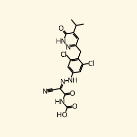 CC(C)c1cc(Cc2c(Cl)cc(NN=C(C#N)C(=O)NC(=O)O)cc2Cl)n[nH]c1=O